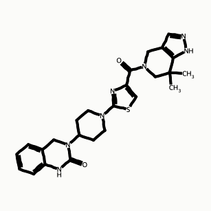 CC1(C)CN(C(=O)c2csc(N3CCC(N4Cc5ccccc5NC4=O)CC3)n2)Cc2cn[nH]c21